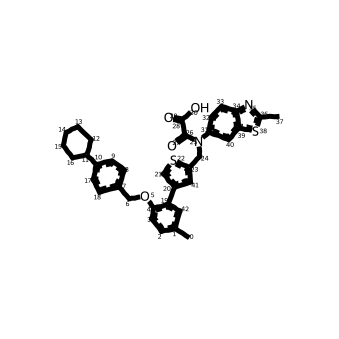 Cc1ccc(OCc2ccc(C3CCCCC3)cc2)c(-c2csc(CN(C(=O)C(=O)O)c3ccc4nc(C)sc4c3)c2)c1